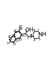 OC(CN1CCNCC1)c1cc2ccsc2cc1F